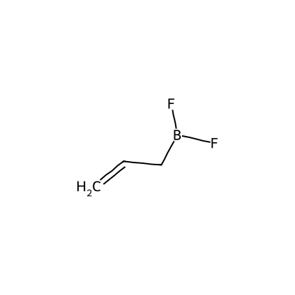 C=CCB(F)F